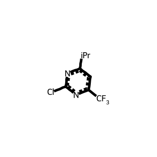 CC(C)c1cc(C(F)(F)F)nc(Cl)n1